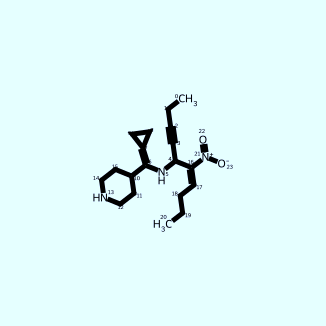 CCC#CC(NC(=C1CC1)C1CCNCC1)/C(=C\CCC)[N+](=O)[O-]